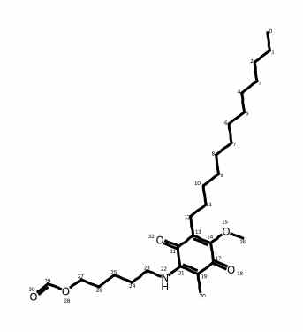 CCCCCCCCCCCCCC1=C(OC)C(=O)C(C)=C(NCCCCCOC=O)C1=O